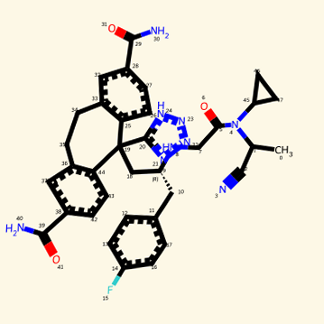 CC(C#N)N(C(=O)CN[C@H](Cc1ccc(F)cc1)CC1(c2nnn[nH]2)c2ccc(C(N)=O)cc2CCc2cc(C(N)=O)ccc21)C1CC1